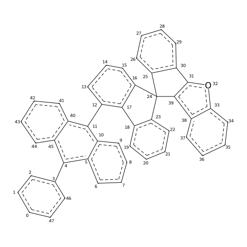 c1ccc(-c2c3ccccc3c(-c3cccc4c3-c3ccccc3C43c4ccccc4-c4oc5ccccc5c43)c3ccccc23)cc1